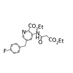 CCOC(=O)CC(=O)Nc1cc(Cc2ccc(F)cc2)cnc1C(=O)OCC